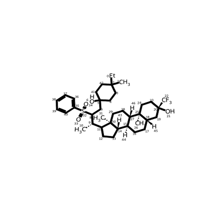 CCC1(C)CCC(O)(CC([C@@H](C)C2CC[C@H]3[C@@H]4CC[C@H]5C[C@](O)(C(F)(F)F)CC[C@]5(C)[C@H]4CC[C@]23C)S(=O)(=O)c2ccccc2)CC1